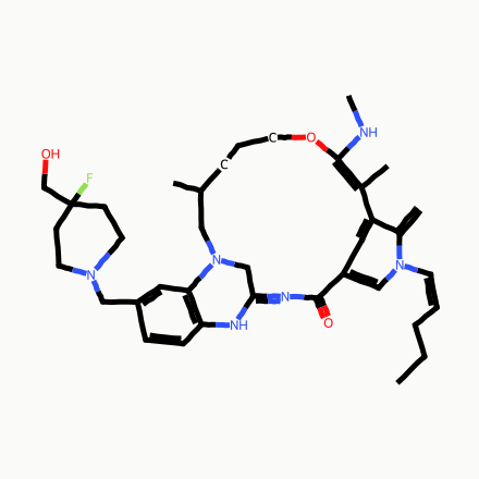 C=C1C2=CC(=CN1/C=C\CCC)C(=O)/N=C1/CN(CC(C)CCCO/C(NC)=C\2C)c2cc(CN3CCC(F)(CO)CC3)ccc2N1